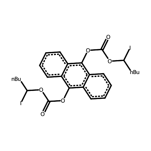 CCCCC(I)OC(=O)Oc1c2ccccc2c(OC(=O)OC(I)CCCC)c2ccccc12